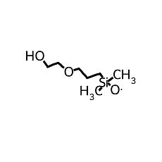 C[Si](C)([O])CCCOCCO